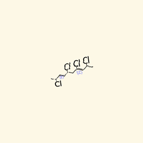 CC(Cl)/C=C(\Cl)CC(Cl)/C=C/C(C)Cl